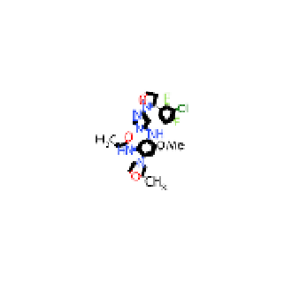 C=CC(=O)Nc1cc(Nc2cc(N3OCC[C@@H]3c3ccc(F)c(Cl)c3F)ncn2)c(OC)cc1N1CCO[C@@H](C)C1